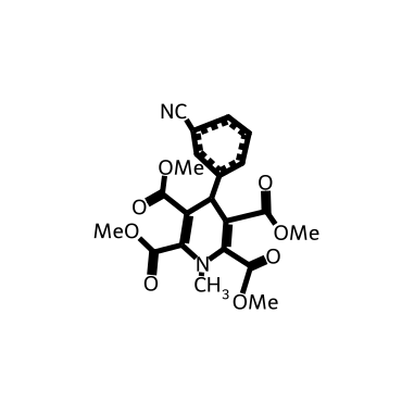 COC(=O)C1=C(C(=O)OC)N(C)C(C(=O)OC)=C(C(=O)OC)C1c1cccc(C#N)c1